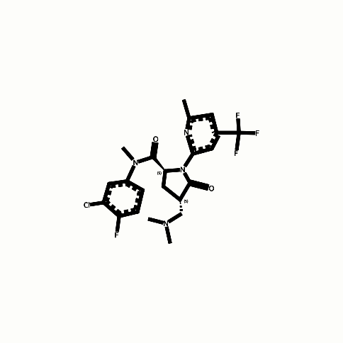 Cc1cc(C(F)(F)F)cc(N2C(=O)[C@H](CN(C)C)C[C@H]2C(=O)N(C)c2ccc(F)c(Cl)c2)n1